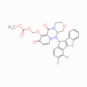 COC(=O)OCOc1c2n(ccc1=O)N(C1c3ccc(F)c(F)c3-c3sc4ccccc4c31)C1COCCN1C2=O